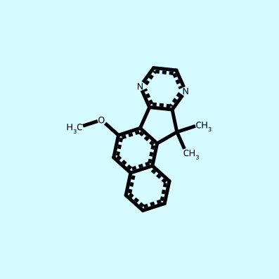 COc1cc2ccccc2c2c1-c1nccnc1C2(C)C